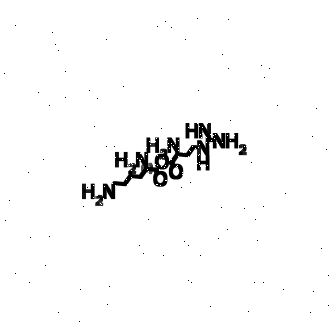 N=C(N)NCCC(N)C(=O)OC(=O)[C@@H](N)CCCCN